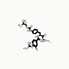 CNC(=O)C(Cc1ccc(NC(=O)OCC(C)C)cc1)NC(=O)c1ccc(OC(C)C)c(Cl)c1